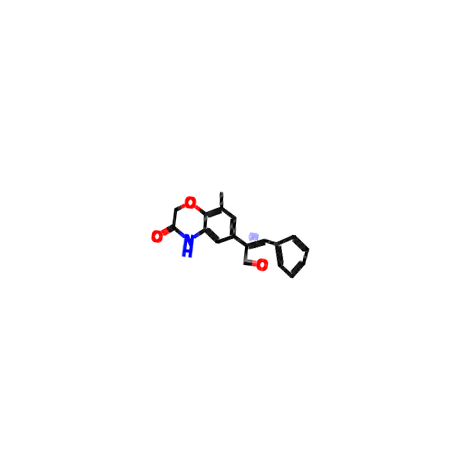 Cc1cc(/C(C=O)=C/c2ccccc2)cc2c1OCC(=O)N2